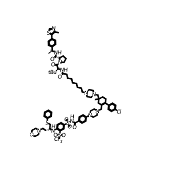 Cc1ncsc1-c1ccc([C@H](C)NC(=O)[C@@H]2CCCN2C(=O)[C@@H](NC(=O)CCCCCCCCN2CCN(CC3(C)CCC(c4ccc(Cl)cc4)=C(CN4CCN(c5ccc(C(=O)NS(=O)(=O)c6ccc(N[C@H](CCN7CCOCC7)CSc7ccccc7)c(S(=O)(=O)C(F)(F)F)c6)cc5)CC4)C3)CC2)C(C)(C)C)cc1